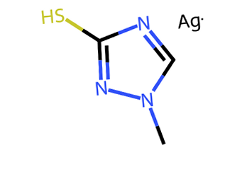 Cn1cnc(S)n1.[Ag]